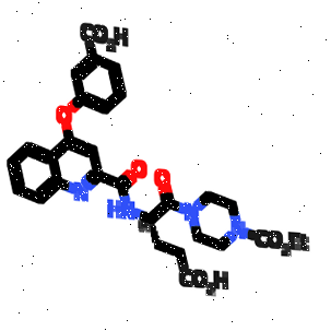 CCOC(=O)N1CCN(C(=O)[C@H](CCC(=O)O)NC(=O)c2cc(Oc3cccc(C(=O)O)c3)c3ccccc3n2)CC1